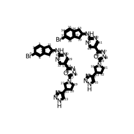 Brc1ccc2c(c1)CC(Nc1ncc(-c3nnc(N4CCC(c5c[nH]nn5)C4)o3)cn1)C2.Brc1ccc2c(c1)CC(Nc1ncc(-c3nnc(N4CCC(c5c[nH]nn5)C4)o3)cn1)C2